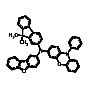 CC1(C)c2ccccc2-c2ccc(N(c3ccc4c(c3)Oc3ccccc3N4c3ccccc3)c3ccc4oc5ccccc5c4c3)cc21